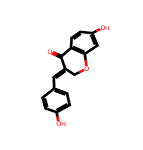 O=C1/C(=C/c2ccc(O)cc2)COc2cc(O)ccc21